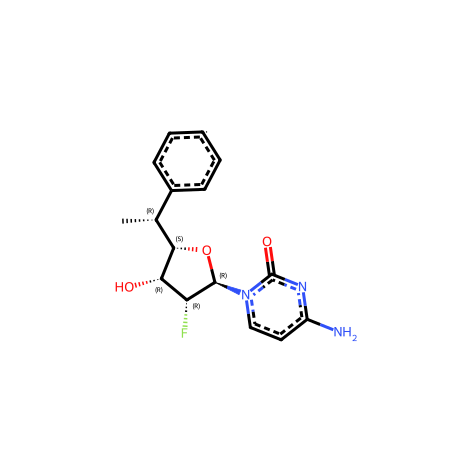 C[C@H](c1cc[c]cc1)[C@@H]1O[C@@H](n2ccc(N)nc2=O)[C@H](F)[C@@H]1O